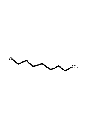 ClCCCCCCCC(Cl)(Cl)Cl